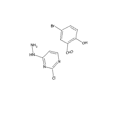 NNc1ccnc(Cl)n1.O=Cc1cc(Br)ccc1O